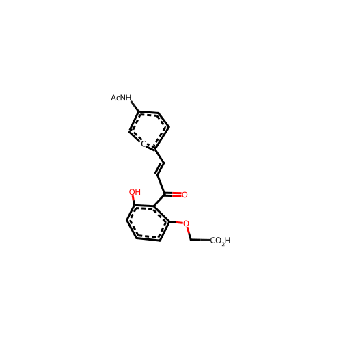 CC(=O)Nc1ccc(C=CC(=O)c2c(O)cccc2OCC(=O)O)cc1